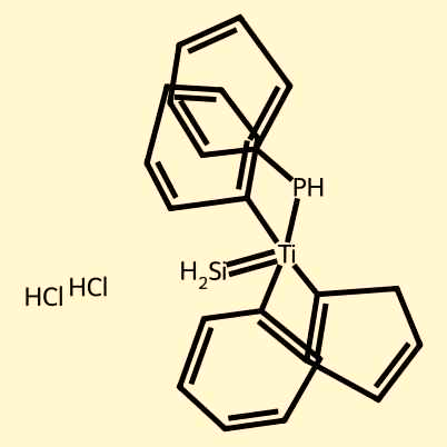 Cl.Cl.[SiH2]=[Ti]([PH]c1ccccc1)([C]1=CC=CC1)([c]1ccccc1)[c]1ccccc1